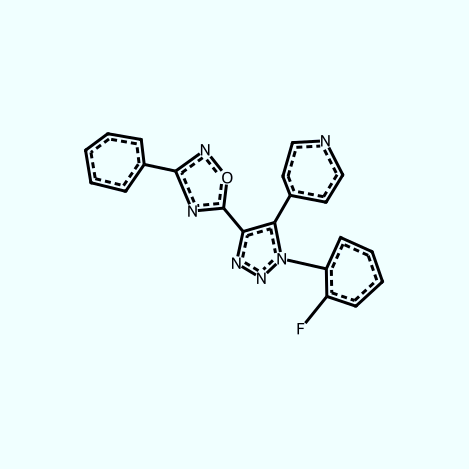 Fc1ccccc1-n1nnc(-c2nc(-c3ccccc3)no2)c1-c1ccncc1